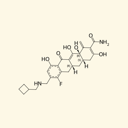 C=C1C(C(N)=O)=C(O)C[C@@H]2C[C@@H]3Cc4c(F)c(CNCC5CCC5)cc(O)c4C(=O)C3=C(O)[C@]12O